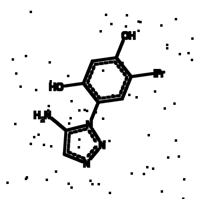 CC(C)c1cc(-n2nncc2N)c(O)cc1O